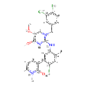 COc1cn(Cc2ccc(F)c(Cl)c2)c(Nc2cc(-c3cccn(C)c3=O)c(F)cc2C)nc1=O